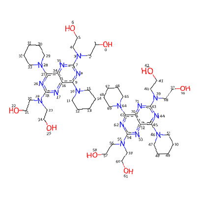 OCCN(CCO)c1nc(N2CCCCC2)c2nc(N(CCO)CCO)nc(N3CCCCC3)c2n1.OCCN(CCO)c1nc(N2CCCCC2)c2nc(N(CCO)CCO)nc(N3CCCCC3)c2n1